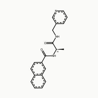 C[C@@H](NC(=O)c1ccc2ccccc2c1)C(=O)NCc1cccnc1